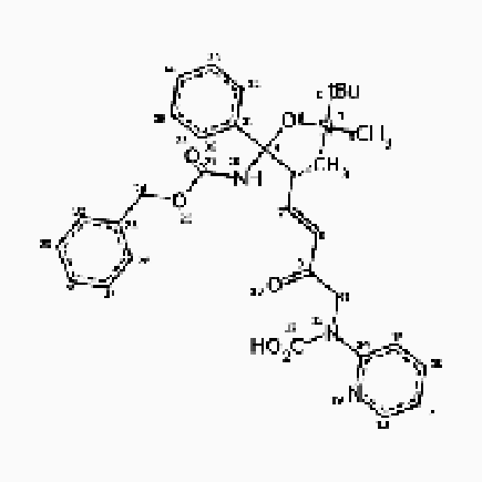 CC(C)(C)[Si](C)(C)OC(CC=CC(=O)CN(C(=O)O)c1ccccn1)(NC(=O)OCc1ccccc1)c1ccccc1